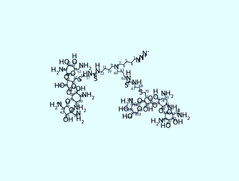 [N-]=[N+]=NCCCCCN(CCCCNC(=S)NCCSC[C@H]1OC(O[C@@H]2C(O)[C@H](N)CC(N)[C@@H]2O[C@@H]2OC(CN)[C@@H](O)CC2N)[C@@H](O)[C@H]1O[C@H]1OC(CN)[C@@H](O)C(O)[C@H]1N)CCCNC(=S)NCCSC[C@H]1OC(O[C@@H]2C(O)[C@H](N)CC(N)[C@@H]2O[C@@H]2OC(CN)[C@@H](O)[C@H](O)C2N)[C@@H](O)[C@H]1O[C@H]1OC[C@@H](O)C(O)[C@H]1N